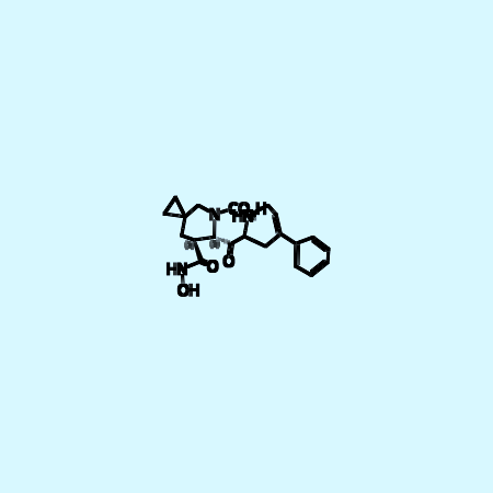 O=C(NO)[C@H]1CC2(CC2)CN(C(=O)O)[C@@H]1C(=O)C1CC(c2ccccc2)=CCN1